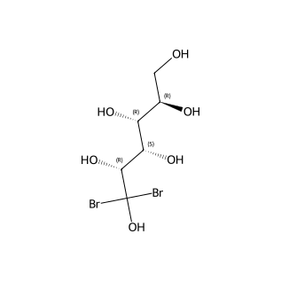 OC[C@@H](O)[C@@H](O)[C@H](O)[C@@H](O)C(O)(Br)Br